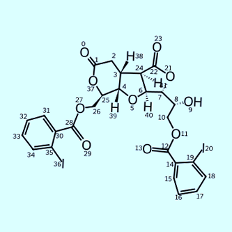 O=C1C[C@H]2[C@H](O[C@@H]3[C@@H]([C@H](O)COC(=O)c4ccccc4I)OC(=O)[C@H]23)[C@@H](COC(=O)c2ccccc2I)O1